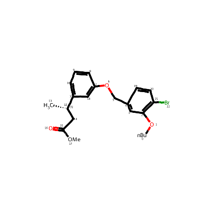 CCCCOc1cc(COc2cccc([C@@H](C)CC(=O)OC)c2)ccc1Br